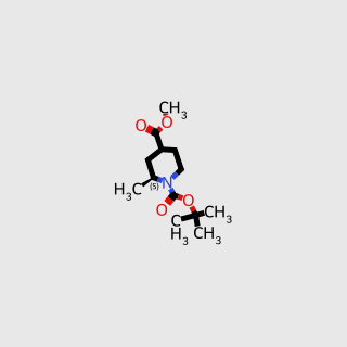 COC(=O)C1CCN(C(=O)OC(C)(C)C)[C@@H](C)C1